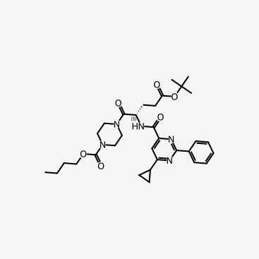 CCCCOC(=O)N1CCN(C(=O)[C@H](CCC(=O)OC(C)(C)C)NC(=O)c2cc(C3CC3)nc(-c3ccccc3)n2)CC1